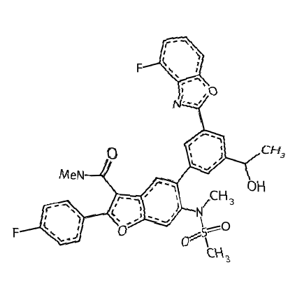 CNC(=O)c1c(-c2ccc(F)cc2)oc2cc(N(C)S(C)(=O)=O)c(-c3cc(-c4nc5c(F)cccc5o4)cc(C(C)O)c3)cc12